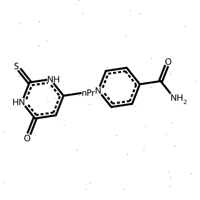 CCCc1cc(=O)[nH]c(=S)[nH]1.NC(=O)c1ccncc1